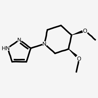 CO[C@H]1CN(c2cc[nH]n2)CC[C@H]1OC